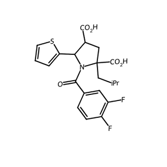 CC(C)CC1(C(=O)O)CC(C(=O)O)C(c2cccs2)N1C(=O)c1ccc(F)c(F)c1